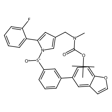 CN(Cc1cc(-c2ccccc2F)n([S+]([O-])c2cccc(-c3ccc4occc4c3)c2)c1)C(=O)OC(C)(C)C